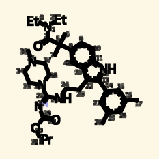 CCN(CC)C(=O)C(C)(C)c1ccc2[nH]c(-c3cc(C)cc(C)c3)c(CCN/C(=N\C(=O)OC(C)C)N3CCN(C)CC3)c2c1